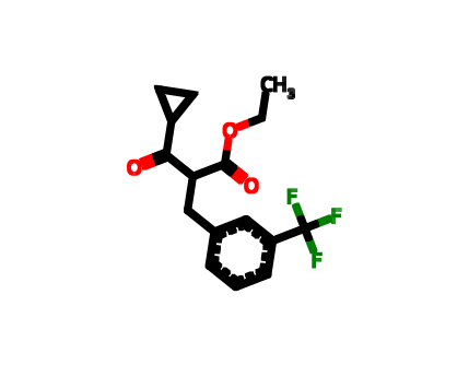 CCOC(=O)C(Cc1cccc(C(F)(F)F)c1)C(=O)C1CC1